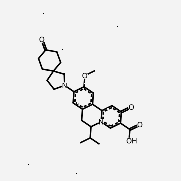 COc1cc2c(cc1N1CCC3(CCC(=O)CC3)C1)CC(C(C)C)n1cc(C(=O)O)c(=O)cc1-2